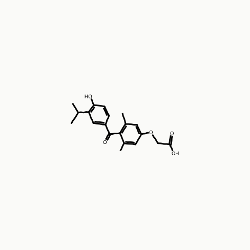 Cc1cc(OCC(=O)O)cc(C)c1C(=O)c1ccc(O)c(C(C)C)c1